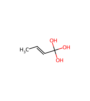 CC=CC(O)(O)O